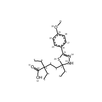 CCC1(CCC(CC)(CC)C(=O)O)NN=C(c2ccc(OC)cc2)S1